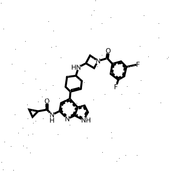 O=C(Nc1cc(C2=CCC(NC3CN(C(=O)c4cc(F)cc(F)c4)C3)CC2)c2cc[nH]c2n1)C1CC1